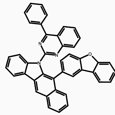 c1ccc(-c2nc(-n3c4ccccc4c4cc5ccccc5c(-c5ccc6oc7ccccc7c6c5)c43)nc3ccccc23)cc1